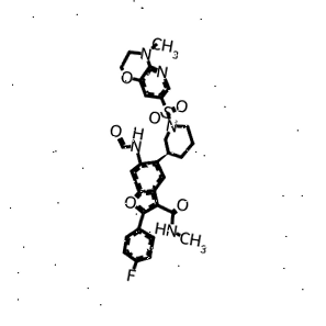 CNC(=O)c1c(-c2ccc(F)cc2)oc2cc(NC=O)c([C@@H]3CCCN(S(=O)(=O)c4cnc5c(c4)OCCN5C)C3)cc12